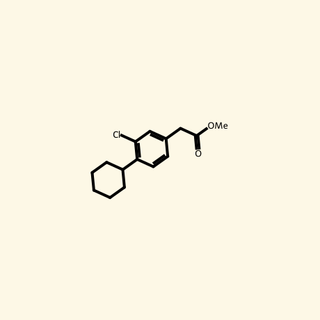 COC(=O)Cc1ccc(C2CCCCC2)c(Cl)c1